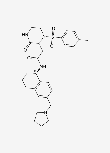 Cc1ccc(S(=O)(=O)N2CCNC(=O)C2CC(=O)N[C@@H]2CCCc3cc(CN4CCCC4)ccc32)cc1